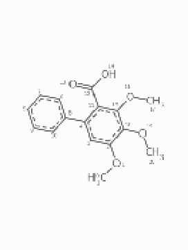 COc1cc(-c2ccccc2)c(C(=O)O)c(OC)c1OC